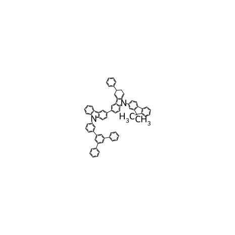 CC1(C)c2ccccc2-c2ccc(-n3c4c(c5cc(-c6ccc7c(c6)c6ccccc6n7-c6cccc(-c7cc(-c8ccccc8)cc(-c8ccccc8)c7)c6)ccc53)=CC(c3ccccc3)CC=4)cc21